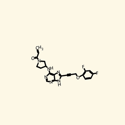 C=CC(=O)N1CCC(Nc2ncnc3[nH]c(C#CCOc4ccc(F)cc4F)nc23)C1